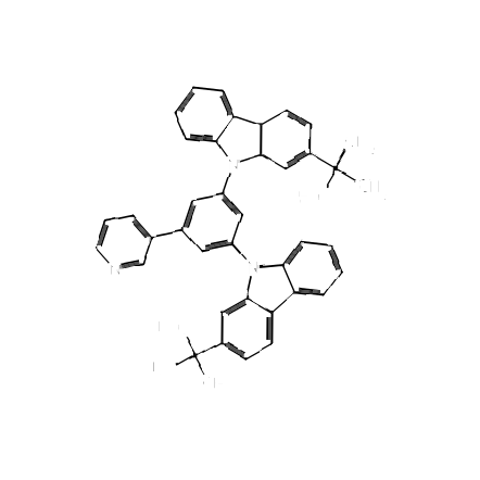 CC(C)(C)C1=CC2C(C=C1)c1ccccc1N2c1cc(-c2cccnc2)cc(-n2c3ccccc3c3ccc(C(C)(C)C)cc32)c1